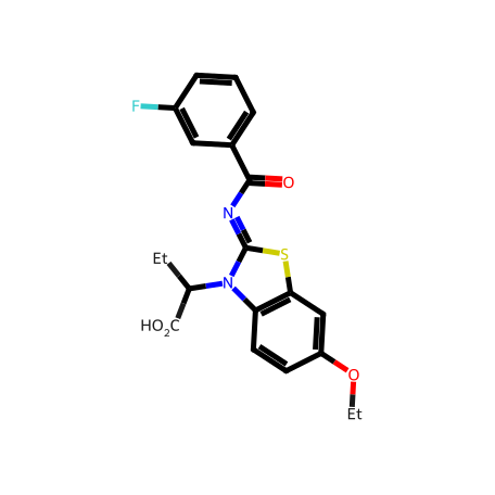 CCOc1ccc2c(c1)s/c(=N\C(=O)c1cccc(F)c1)n2C(CC)C(=O)O